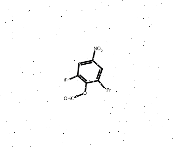 CC(C)c1cc([N+](=O)[O-])cc(C(C)C)c1OC=O